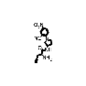 C#CC[C@H](N)C(=O)N[C@H]1CCN(c2ccc([N+](=O)[O-])cc2C#N)C1